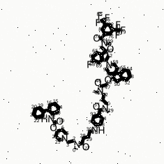 CN(CCN1CCC(OC(=O)Nc2ccccc2-c2ccccc2)CC1)C(=O)CCCNc1ccc(C(=O)N(C)CCCN(C)C(=O)CO[C@H]2Cc3ccccc3C23CCN(CC[C@]2(c4ccc(F)cc4)CN(C(=O)c4cc(C(F)(F)F)cc(C(F)(F)F)c4)CO2)CC3)cc1